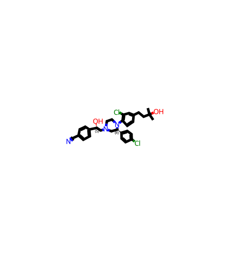 CC(C)(O)CCc1ccc(N2CCN(C[C@@H](O)c3ccc(C#N)cc3)C[C@H]2c2ccc(Cl)cc2)c(Cl)c1